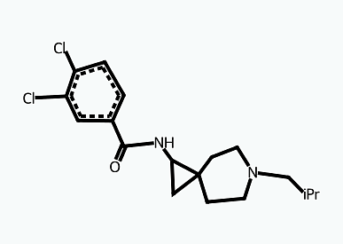 CC(C)CN1CCC2(CC1)CC2NC(=O)c1ccc(Cl)c(Cl)c1